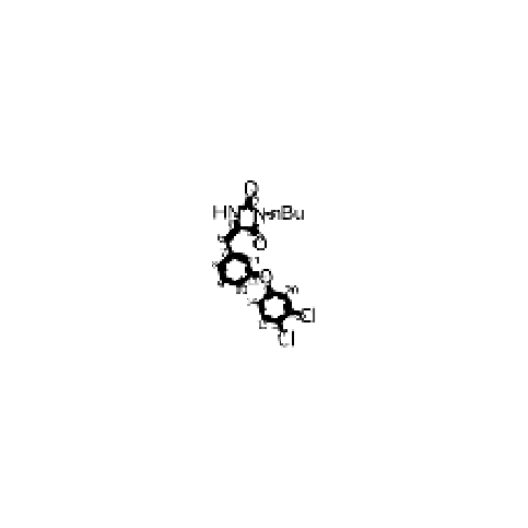 CCCCN1C(=O)NC(=Cc2cccc(Oc3ccc(Cl)c(Cl)c3)c2)C1=O